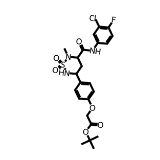 CN1C(C(=O)Nc2ccc(F)c(Cl)c2)CC(c2ccc(OCC(=O)OC(C)(C)C)cc2)NS1(=O)=O